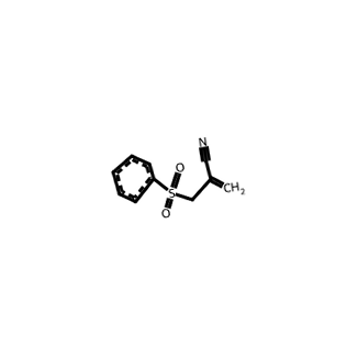 C=C(C#N)CS(=O)(=O)c1ccccc1